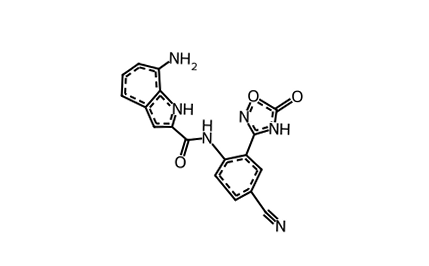 N#Cc1ccc(NC(=O)c2cc3cccc(N)c3[nH]2)c(-c2noc(=O)[nH]2)c1